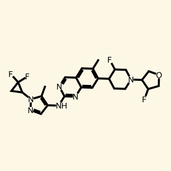 Cc1cc2cnc(Nc3cnn(C4CC4(F)F)c3C)nc2cc1C1CCN(C2COCC2F)CC1F